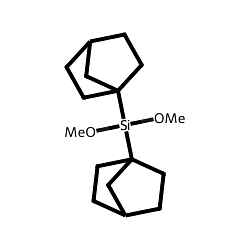 CO[Si](OC)(C12CCC(CC1)C2)C12CCC(CC1)C2